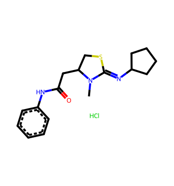 CN1C(=NC2CCCC2)SCC1CC(=O)Nc1ccccc1.Cl